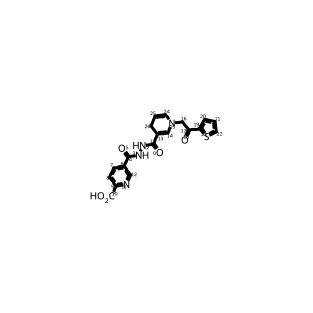 O=C(NNC(=O)c1ccc(C(=O)O)nc1)C1=CN(CC(=O)c2cccs2)C=CC1